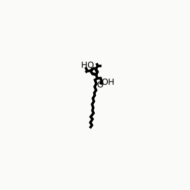 CCCCCCCCCCCCCCCCCC(CC(=O)O)c1cc(C(C)C)c(O)c(C(C)C)c1